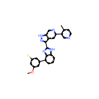 COc1cc(F)cc(-c2cccc3[nH]c(-c4n[nH]c5cnc(-c6cnccc6C)cc45)nc23)c1